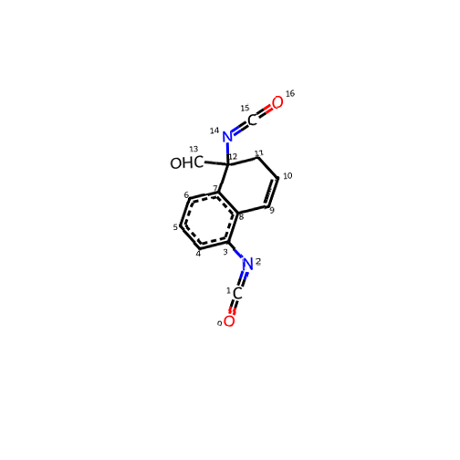 O=C=Nc1cccc2c1C=CCC2(C=O)N=C=O